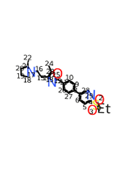 CCS(=O)(=O)c1ccc(-c2ccc(-c3nc(CCN4CCC[C@H]4C)c(C)o3)cc2)cn1